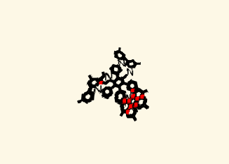 Cc1ccc2c(c1)c1cc(C)ccc1n2-c1cccc(-c2c(C#N)c(-c3cccc(-n4c5ccc(C)cc5c5cc(C)ccc54)c3)c(-c3cccc(C)n3)c(-c3cccc(-n4c5ccc(C)cc5c5cc(C)ccc54)c3)c2-c2cccc(-n3c4ccc(C)cc4c4cc(C)ccc43)c2)c1